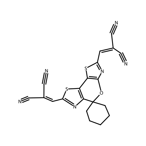 N#CC(C#N)=Cc1nc2c(s1)-c1sc(C=C(C#N)C#N)nc1C1(CCCCC1)O2